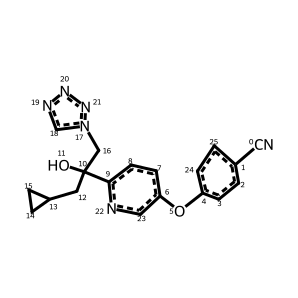 N#Cc1ccc(Oc2ccc(C(O)(CC3CC3)Cn3cnnn3)nc2)cc1